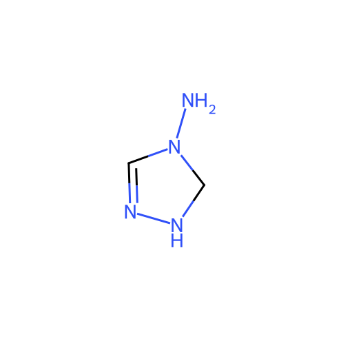 NN1C=NNC1